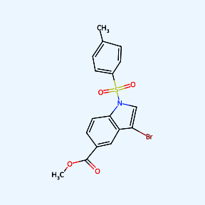 COC(=O)c1ccc2c(c1)c(Br)cn2S(=O)(=O)c1ccc(C)cc1